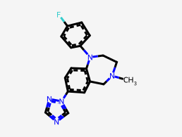 CN1CCN(c2ccc(F)cc2)c2ccc(-n3cncn3)cc2C1